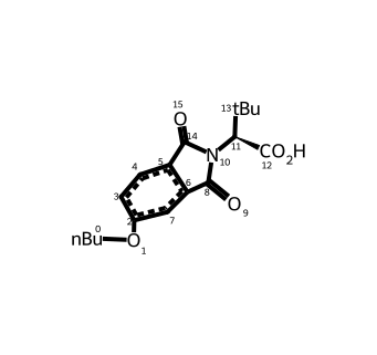 CCCCOc1ccc2c(c1)C(=O)N([C@H](C(=O)O)C(C)(C)C)C2=O